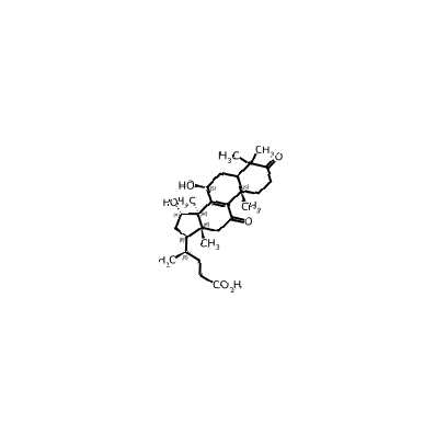 C[C@H](CCC(=O)O)[C@H]1C[C@H](O)[C@@]2(C)C3=C(C(=O)C[C@]12C)[C@@]1(C)CCC(=O)C(C)(C)C1C[C@@H]3O